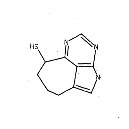 SC1CCCC2=C[N]c3ncnc1c32